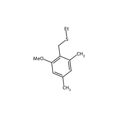 CCSCc1c(C)cc(C)cc1OC